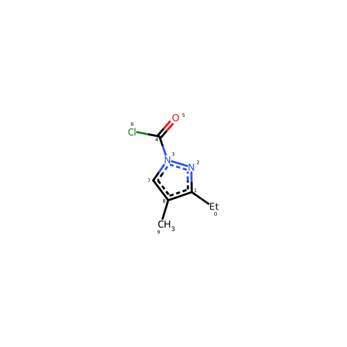 CCc1nn(C(=O)Cl)cc1C